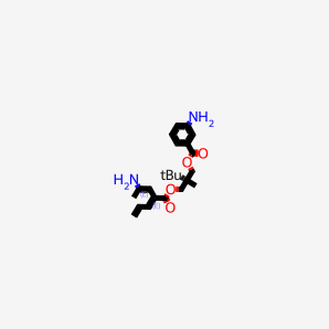 C=C/C=C(\C=C(/C)N)C(=O)OCC(C)(COC(=O)c1cccc(N)c1)C(C)(C)C